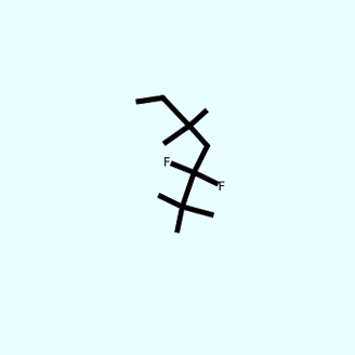 CCC(C)(C)CC(F)(F)C(C)(C)C